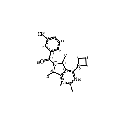 Cc1nc2c(c(N3CCC3)n1)C(C)N(C(=O)c1cccc(Cl)c1)C2C